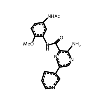 COc1ccc(NC(C)=O)cc1NC(=O)c1nc(-c2cccnc2)cnc1N